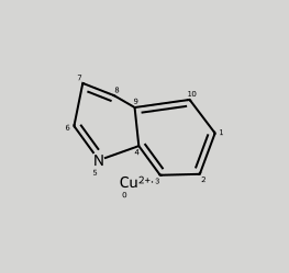 [Cu+2].c1ccc2ncccc2c1